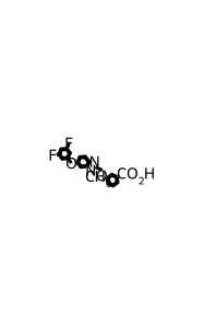 Cn1c(COc2cccc(C(=O)O)c2)nc2ccc(Oc3cc(F)cc(F)c3)cc21